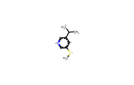 CSc1cn[c]c(C(C)C)c1